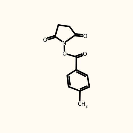 Cc1ccc(C(=O)ON2C(=O)CCC2=O)cc1